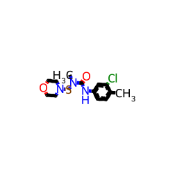 Cc1ccc(NC(=O)N(C)SN2CCOCC2)cc1Cl